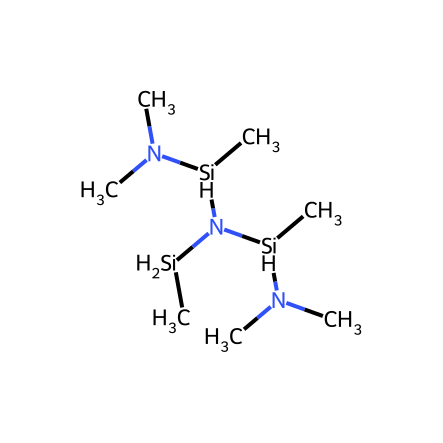 C[SiH2]N([SiH](C)N(C)C)[SiH](C)N(C)C